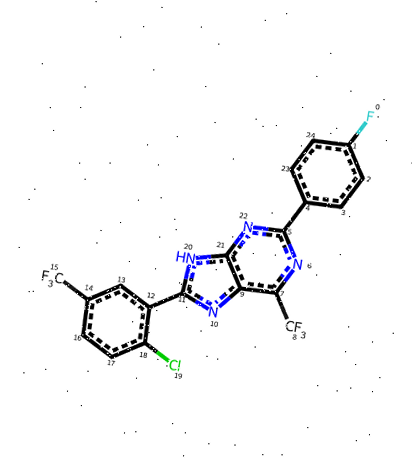 Fc1ccc(-c2nc(C(F)(F)F)c3nc(-c4cc(C(F)(F)F)ccc4Cl)[nH]c3n2)cc1